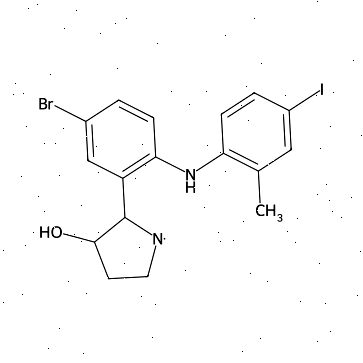 Cc1cc(I)ccc1Nc1ccc(Br)cc1C1[N]CCC1O